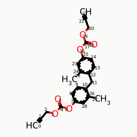 C#CCOC(=O)Oc1ccc(Cc2ccc(OC(=O)OCC#C)cc2C)c(C)c1